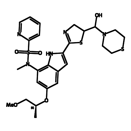 COC[C@H](C)Oc1cc(N(C)S(=O)(=O)c2ccccn2)c2[nH]c(C3=NCC(C(O)N4CCSCC4)S3)cc2c1